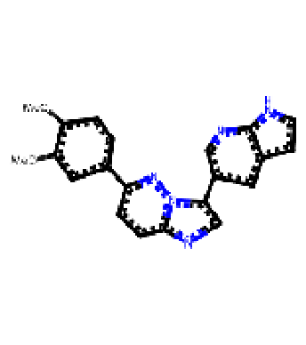 COc1ccc(-c2ccc3ncc(-c4cnc5[nH]ccc5c4)n3n2)cc1OC